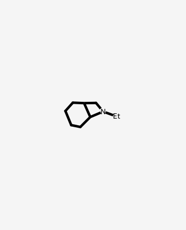 CCN1CC2CCCCC21